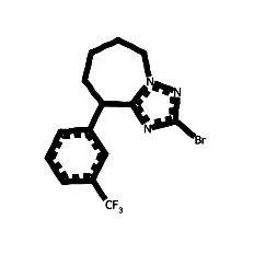 FC(F)(F)c1cccc(C2CCCCn3nc(Br)nc32)c1